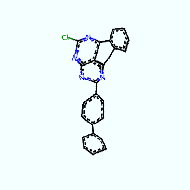 Clc1nc2c3c(nc(-c4ccc(-c5ccccc5)cc4)nc3n1)-c1ccccc1-2